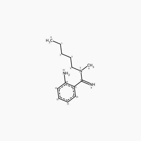 CCCCCN(C)C(=N)c1ccccc1N